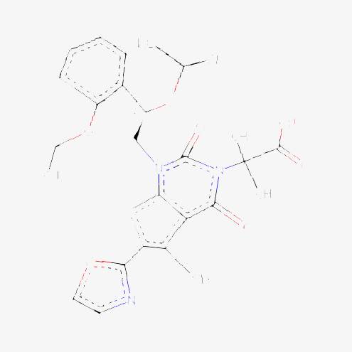 CCOc1ccccc1[C@H](Cn1c(=O)n(C(C)(C)C(=O)O)c(=O)c2c(C)c(-c3ncco3)sc21)OC(C)C